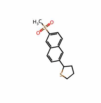 CS(=O)(=O)c1ccc2cc(C3CCCS3)ccc2c1